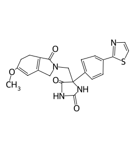 COC1=CC2=C(CC1)C(=O)N(CC1(c3ccc(-c4nccs4)cc3)NC(=O)NC1=O)C2